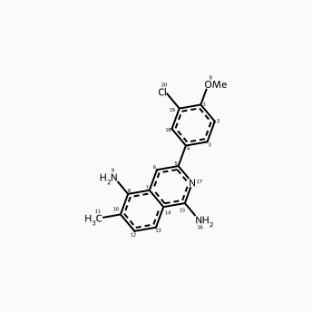 COc1ccc(-c2cc3c(N)c(C)ccc3c(N)n2)cc1Cl